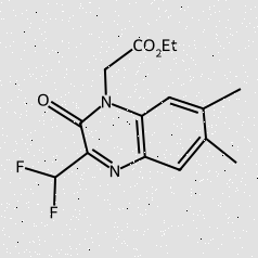 CCOC(=O)Cn1c(=O)c(C(F)F)nc2cc(C)c(C)cc21